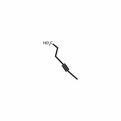 CC#CC[CH]C(=O)O